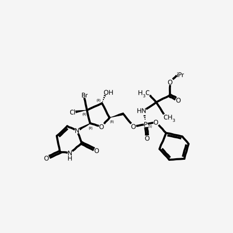 CC(C)OC(=O)C(C)(C)N[P@](=O)(OC[C@H]1O[C@@H](n2ccc(=O)[nH]c2=O)[C@](Cl)(Br)[C@@H]1O)Oc1ccccc1